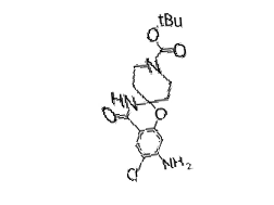 CC(C)(C)OC(=O)N1CCC2(CC1)NC(=O)c1cc(Cl)c(N)cc1O2